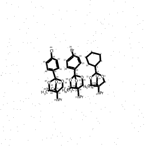 CCCC12COC(C3CCCCC3)(OC1C)OC2C.CCCC12COC(c3ccc(Br)cc3)(OC1C)OC2C.CCCC12COC(c3ccc(Cl)cc3)(OC1C)OC2C